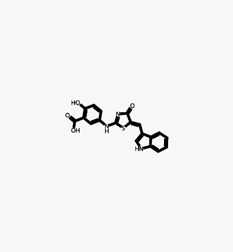 O=C1N=C(Nc2ccc(O)c(C(=O)O)c2)SC1=Cc1c[nH]c2ccccc12